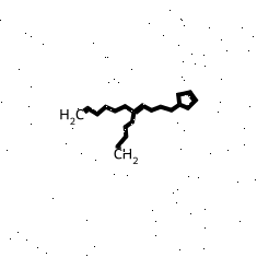 C=CCCCCC(=CCCCC1CC=CC1)CCCC=C